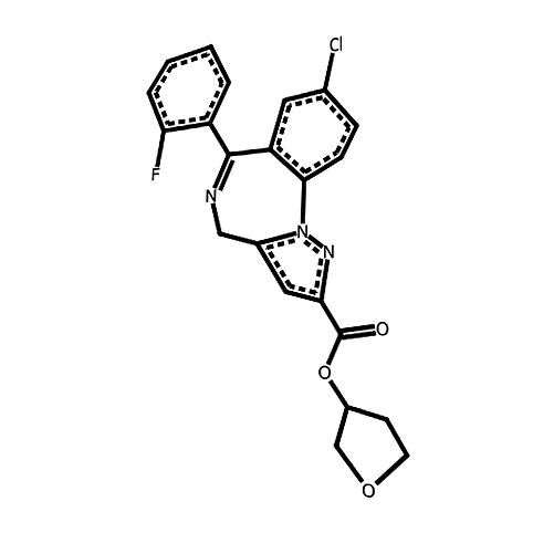 O=C(OC1CCOC1)c1cc2n(n1)-c1ccc(Cl)cc1C(c1ccccc1F)=NC2